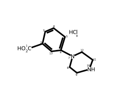 Cl.O=C(O)c1cccc(N2CCNCC2)c1